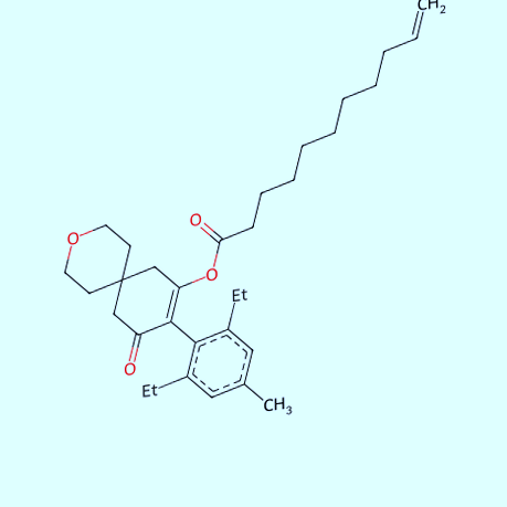 C=CCCCCCCCCC(=O)OC1=C(c2c(CC)cc(C)cc2CC)C(=O)CC2(CCOCC2)C1